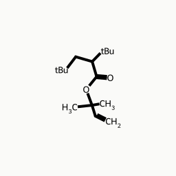 C=CC(C)(C)OC(=O)C(CC(C)(C)C)C(C)(C)C